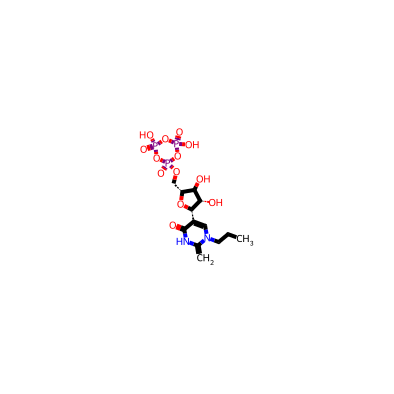 C=C1NC(=O)C([C@@H]2O[C@H](COP3(=O)OP(=O)(O)OP(=O)(O)O3)C(O)[C@@H]2O)=CN1CCC